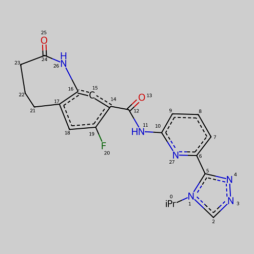 CC(C)n1cnnc1-c1cccc(NC(=O)c2cc3c(cc2F)CCCC(=O)N3)n1